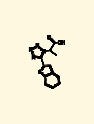 CC(C(=O)O)n1nnnc1-c1cc2ccccc2s1